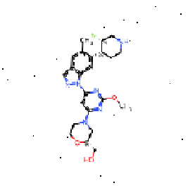 COc1nc(N2CCO[C@@H](CO)C2)cc(-n2ncc3cc(C)c([C@H]4CCNC[C@H]4F)cc32)n1